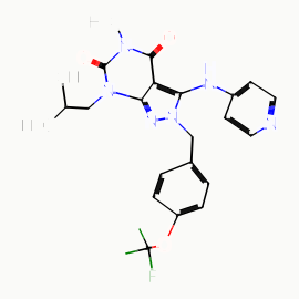 CC(C)Cn1c(=O)n(C)c(=O)c2c(Nc3ccncc3)n(Cc3ccc(OC(F)(F)F)cc3)nc21